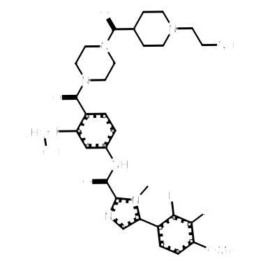 COc1ccc(-c2cnc(C(=O)Nc3ccc(C(=O)N4CCN(C(=O)C5CCN(CCN)CC5)CC4)c(Cl)c3)n2C)c(F)c1F.O=CO